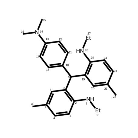 CCNc1ccc(C)cc1C(c1ccc(N(C)C)cc1)c1cc(C)ccc1NCC